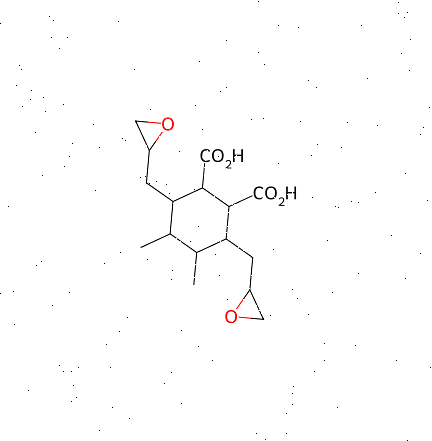 CC1C(C)C(CC2CO2)C(C(=O)O)C(C(=O)O)C1CC1CO1